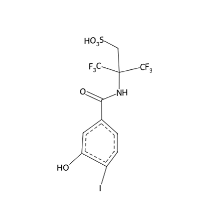 O=C(NC(CS(=O)(=O)O)(C(F)(F)F)C(F)(F)F)c1ccc(I)c(O)c1